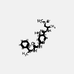 CC(C[S+](C)[O-])Nc1n[nH]c2cc(NC(=O)N[C@H](C)c3ccccc3)ncc12